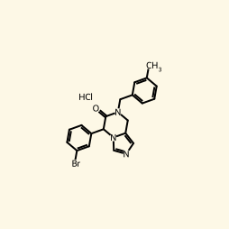 Cc1cccc(CN2Cc3cncn3C(c3cccc(Br)c3)C2=O)c1.Cl